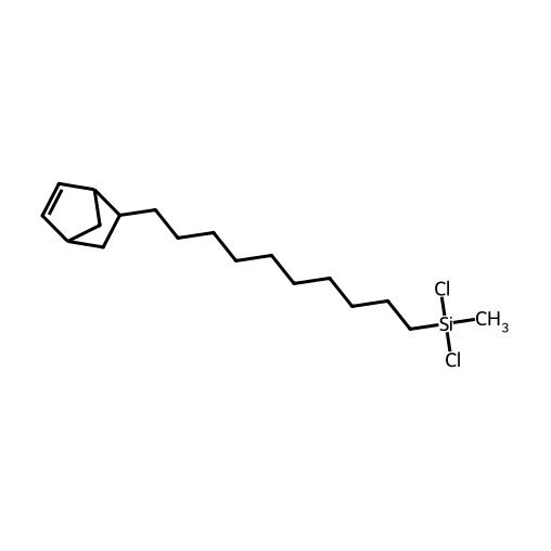 C[Si](Cl)(Cl)CCCCCCCCCCC1CC2C=CC1C2